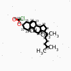 CC(C)CCC[C@@H](C)C1CCC2C3CC=C4C[C@@H](OC(=O)Cl)CC[C@]4(C)C3CCC21C